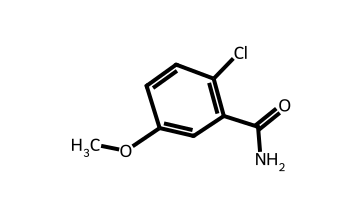 COc1ccc(Cl)c(C(N)=O)c1